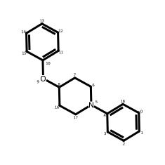 [c]1cccc(N2CCC(Oc3ccccc3)CC2)c1